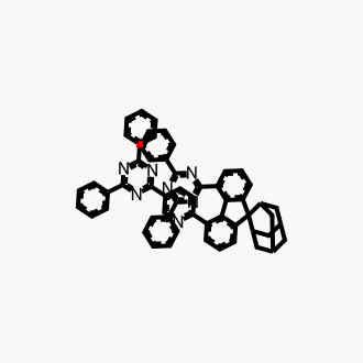 c1ccc(-c2nc(-c3ccccc3)nc(-c3ccc(-c4cccc5c4-c4c(-c6nc(-c7ccccc7)nc(-c7ccccc7)n6)cccc4C54C5CC6CC(C5)CC4C6)nc3)n2)cc1